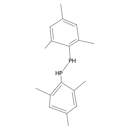 Cc1cc(C)c(PPc2c(C)cc(C)cc2C)c(C)c1